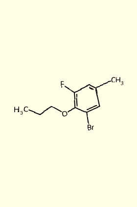 CCCOc1c(F)cc(C)cc1Br